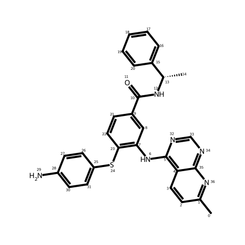 Cc1ccc2c(Nc3cc(C(=O)N[C@@H](C)c4ccccc4)ccc3Sc3ccc(N)cc3)ncnc2n1